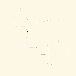 CCCCCC/C=C/[C@H]1CCC(=O)[C@@H]1C/C=C\CCC(OCCC)(OCCC)C(=O)O